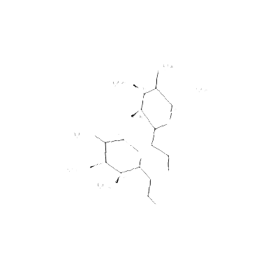 COC1[C@H](O[C@@H]2C(CCO)O[C@@H](OC)C(OC)[C@@H]2OC)OC(CCO)[C@@H](OC)[C@H]1OC